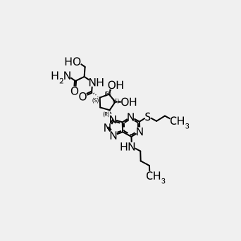 CCCCNc1nc(SCCC)nc2c1nnn2[C@@H]1C[C@H](C(=O)NC(CO)C(N)=O)[C@@H](O)[C@H]1O